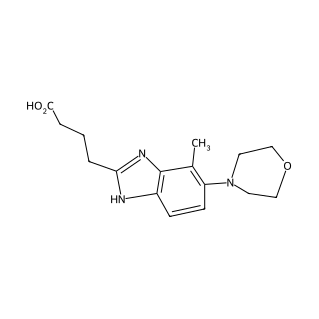 Cc1c(N2CCOCC2)ccc2[nH]c(CCCC(=O)O)nc12